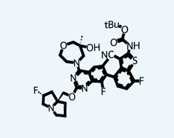 Cc1cc2c(N3CCOC[C@@](C)(O)C3)nc(OC[C@@]34CCCN3C[C@H](F)C4)nc2c(F)c1-c1ccc(F)c2sc(NC(=O)OC(C)(C)C)c(C#N)c12